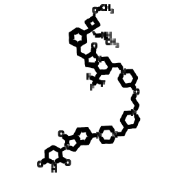 CNC[C@]1(c2cccc(CC3C=C4C(C(F)(F)F)=CC(CN5CCC(OCCN6CCC(CN7CCN(c8ccc9c(c8)CN([C@@H]8CCC(=O)NC8=O)C9=O)CC7)CC6)CC5)=CN4C3=O)c2)C[C@H](OC)C1